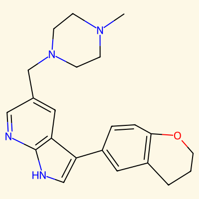 CN1CCN(Cc2cnc3[nH]cc(-c4ccc5c(c4)CCCO5)c3c2)CC1